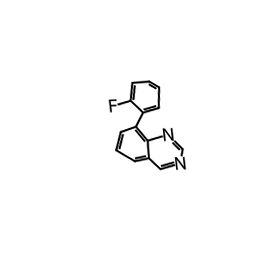 Fc1ccccc1-c1cccc2cncnc12